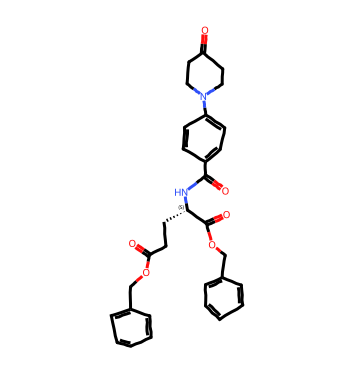 O=C1CCN(c2ccc(C(=O)N[C@@H](CCC(=O)OCc3ccccc3)C(=O)OCc3ccccc3)cc2)CC1